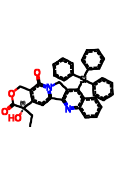 CC[C@@]1(O)C(=O)OCc2c1cc1n(c2=O)Cc2c-1nc1ccccc1c2[Si](c1ccccc1)(c1ccccc1)c1ccccc1